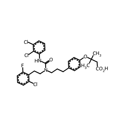 CC(C)(CC(=O)O)Oc1ccc(CCCN(CCc2c(F)cccc2Cl)C(=O)Nc2cccc(Cl)c2Cl)cc1